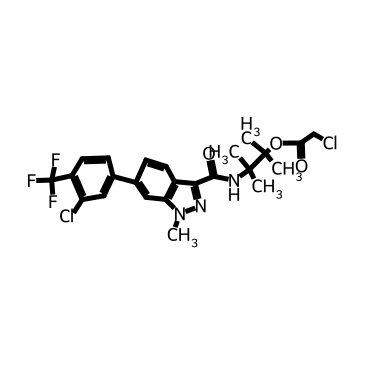 Cn1nc(C(=O)NC(C)(C)C(C)(C)OC(=O)CCl)c2ccc(-c3ccc(C(F)(F)F)c(Cl)c3)cc21